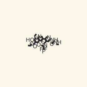 CCNC(=O)Nc1cc(-c2nc(C(F)(F)F)cs2)c(-c2cnc3c(c2)c(=O)c(C(=O)OCC)c(O)n3CC)cn1